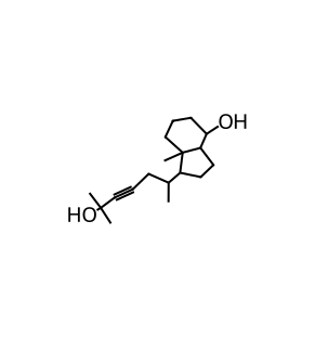 CC(CC#CC(C)(C)O)C1CCC2C(O)CCCC12C